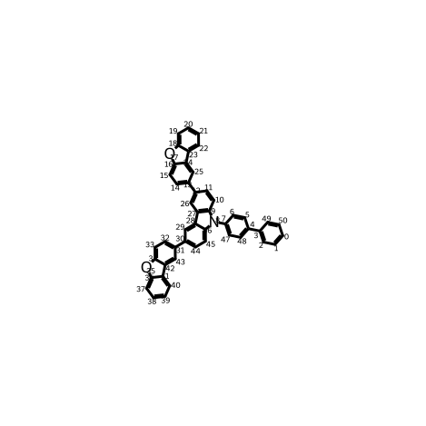 c1ccc(-c2ccc(-n3c4ccc(-c5ccc6oc7ccccc7c6c5)cc4c4cc(-c5ccc6oc7ccccc7c6c5)ccc43)cc2)cc1